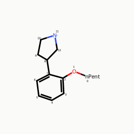 CCCCCOc1ccccc1C1CC[N]C1